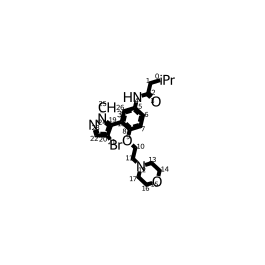 CC(C)CC(=O)Nc1ccc(OCCN2CCOCC2)c(-c2c(Br)cnn2C)c1